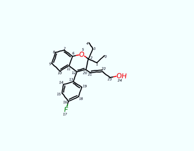 CCC1(CC)Oc2ccccc2C(c2ccc(F)cc2)=C1/C=C/CO